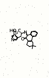 CC1(C)CCC2=C(C1)c1ccccc1/C(=N/[C@@H](Cc1cnc[nH]1)C(=O)O)C2=O